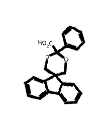 O=C(O)C1(c2ccccc2)OCC2(CO1)c1ccccc1-c1ccccc12